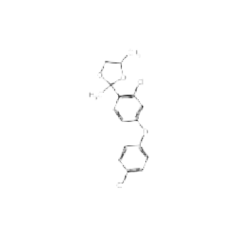 CC1COC(C)(c2ccc(Oc3ccc(Cl)cc3)cc2Cl)O1